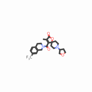 CC1=C(C(=O)N2CCc3ccc(C(F)(F)F)cc3C2)C2(CCN(C3CCOC3)CC2)OC1=O